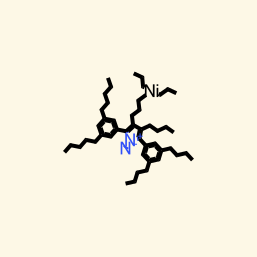 CCCCCc1cc(CCCCC)cc(C2=C(CCCC)C(CCCC)=C(c3cc(CCCC)cc(CCCC)c3)[N+]2=[N-])c1.CC[CH2][Ni][CH2]CC